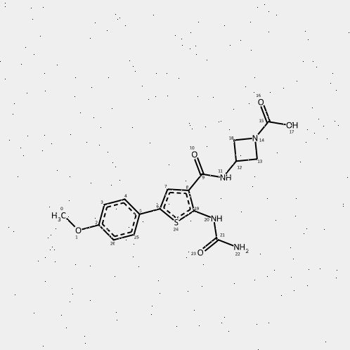 COc1ccc(-c2cc(C(=O)NC3CN(C(=O)O)C3)c(NC(N)=O)s2)cc1